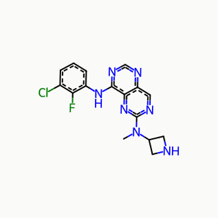 CN(c1ncc2ncnc(Nc3cccc(Cl)c3F)c2n1)C1CNC1